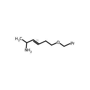 CC(N)/C=C/CCOCC(C)C